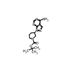 CC(C)(C)OC(=O)N1CCCC(n2ncc3c(N)ncnc32)C1